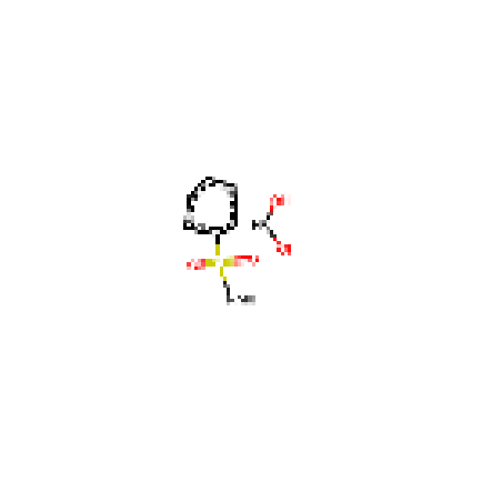 CNS(=O)(=O)c1ccccc1.OBO